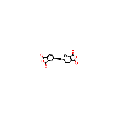 CCC1=C(/C=C\CC#Cc2ccc3c(c2)C(=O)OC3=O)C(=O)OC1=O